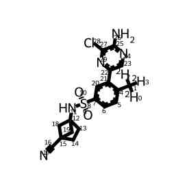 [2H]C([2H])([2H])c1ccc(S(=O)(=O)NC23CCC(C#N)(C2)C3)cc1-c1cnc(N)c(Cl)n1